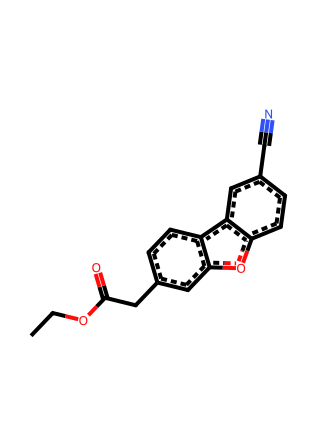 CCOC(=O)Cc1ccc2c(c1)oc1ccc(C#N)cc12